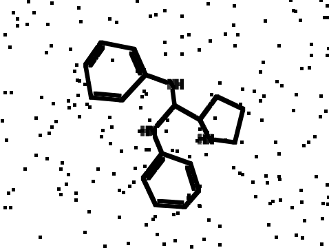 c1ccc(NC(Nc2ccccc2)C2CCCN2)cc1